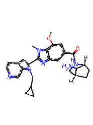 COc1cc(C(=O)N2C[C@H]3CC[C@@H]2[C@@H]3N)cc2nc(-c3cc4ccncc4n3CC3CC3)n(C)c12